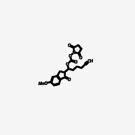 C#CCCCC(OC(=O)ON1C(=O)CCC1=O)C1Cc2cc(OC)ccc2C1=O